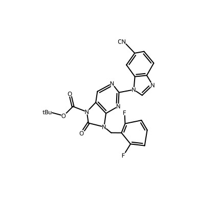 [C-]#[N+]c1ccc2ncn(-c3ncc4c(n3)n(Cc3c(F)cccc3F)c(=O)n4C(=O)OC(C)(C)C)c2c1